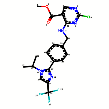 COC(=O)c1cnc(Cl)nc1NCc1ccc(-c2nc(C(F)(F)F)cn2C(C)C)cc1